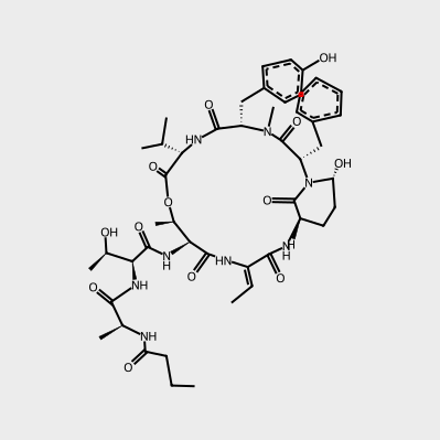 C/C=C1\NC(=O)[C@@H](NC(=O)[C@@H](NC(=O)[C@H](C)NC(=O)CCC)[C@@H](C)O)[C@@H](C)OC(=O)[C@H](C(C)C)NC(=O)[C@H](Cc2ccc(O)cc2)N(C)C(=O)[C@H](Cc2ccccc2)N2C(=O)[C@H](CC[C@H]2O)NC1=O